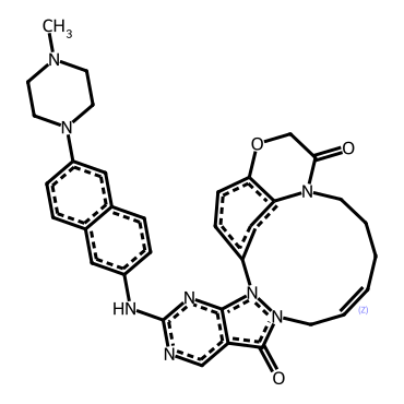 CN1CCN(c2ccc3cc(Nc4ncc5c(=O)n6n(c5n4)-c4ccc5c(c4)N(CCC/C=C\C6)C(=O)CO5)ccc3c2)CC1